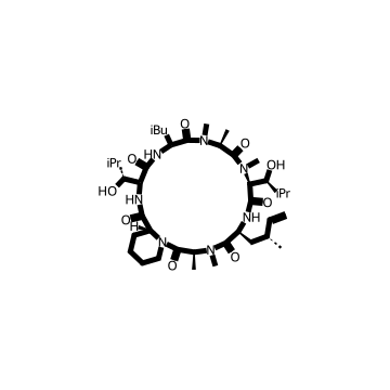 C=C[C@H](C)C[C@@H]1NC(=O)[C@H]([C@@H](O)C(C)C)N(C)C(=O)[C@H](C)N(C)C(=O)C(C(C)CC)NC(=O)C([C@H](O)C(C)C)NC(=O)[C@H]2CCCCN2C(=O)[C@H](C)N(C)C1=O